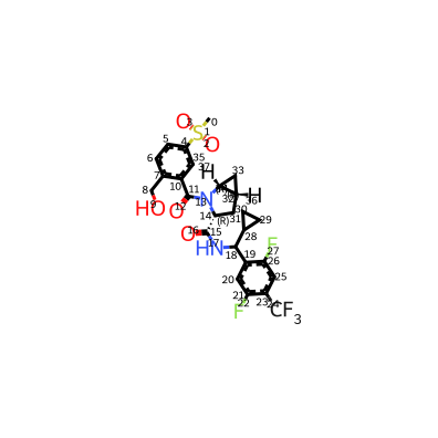 CS(=O)(=O)c1ccc(CO)c(C(=O)N2[C@@H](C(=O)NC(c3cc(F)c(C(F)(F)F)cc3F)C3CC3)C[C@H]3C[C@H]32)c1